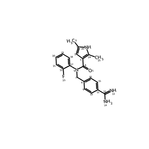 Cc1cc(C(=O)N(Cc2ccc(C(=N)N)cc2)c2ccccc2F)c(C)[nH]1